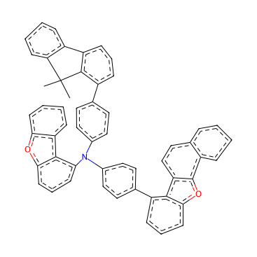 CC1(C)c2ccccc2-c2cccc(-c3ccc(N(c4ccc(-c5cccc6oc7c8ccccc8ccc7c56)cc4)c4cccc5oc6ccccc6c45)cc3)c21